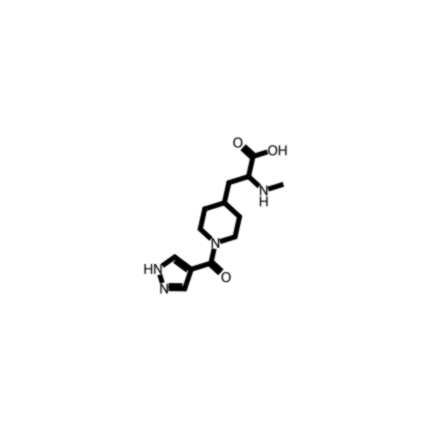 CNC(CC1CCN(C(=O)c2cn[nH]c2)CC1)C(=O)O